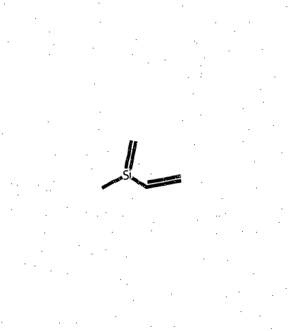 C=C[Si](=C)C